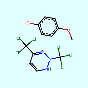 COc1ccc(O)cc1.ClC(Cl)(Cl)C1=NN(C(Cl)(Cl)Cl)NC=C1